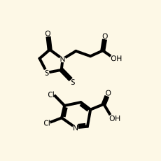 O=C(O)CCN1C(=O)CSC1=S.O=C(O)c1cnc(Cl)c(Cl)c1